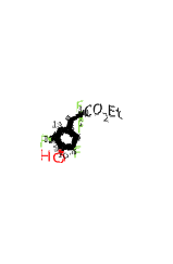 CCOC(=O)C(F)(F)Cc1cc(F)c(O)c(F)c1